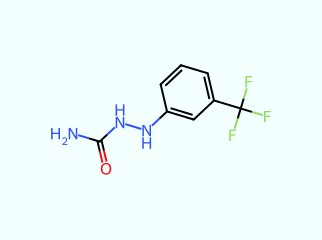 NC(=O)NNc1cccc(C(F)(F)F)c1